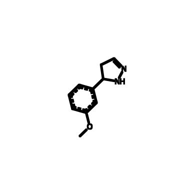 COc1cccc(C2CC=NN2)c1